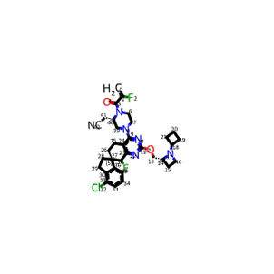 C=C(F)C(=O)N1CCN(c2nc(OC[C@H]3CCN3C3CCC3)nc3c2CC[C@@]2(CCc4c(Cl)cccc42)C3F)C[C@@H]1CC#N